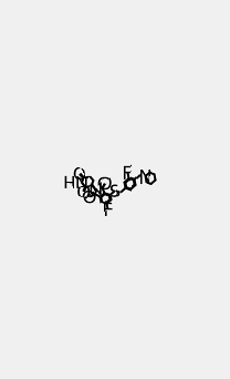 O=C1CCC(N2C(=O)c3cc(F)cc(SCc4ccc(CN5CCCCC5)c(F)c4)c3C2=O)C(=O)N1